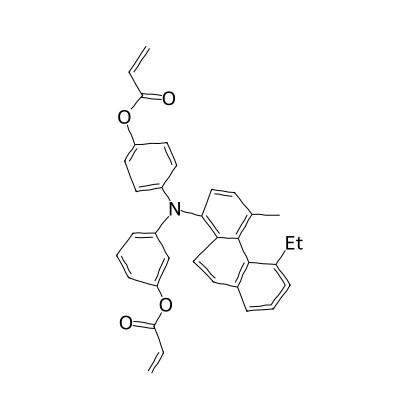 C=CC(=O)Oc1ccc(N(c2cccc(OC(=O)C=C)c2)c2ccc(C)c3c4c(ccc23)C=C=C=C4CC)cc1